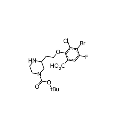 CC(C)(C)OC(=O)N1CCNC(CCOc2c(C(=O)O)cc(F)c(Br)c2Cl)C1